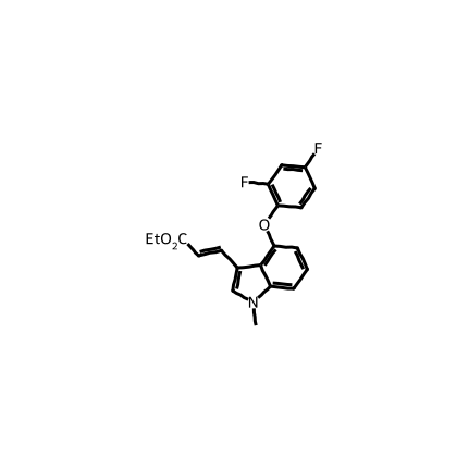 CCOC(=O)/C=C/c1cn(C)c2cccc(Oc3ccc(F)cc3F)c12